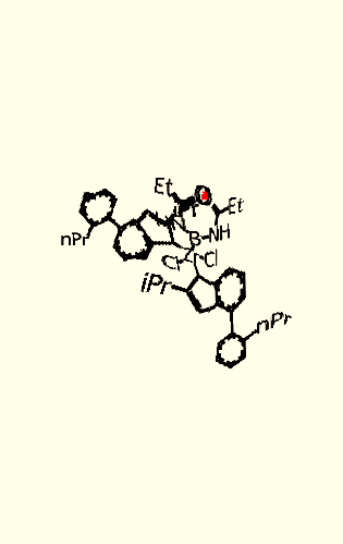 CCCc1ccccc1-c1cccc2c1C=C(C(C)C)[CH]2[Zr]([Cl])([Cl])([B](NC(=O)CC)NC(=O)CC)[CH]1C(C(C)C)=Cc2c(-c3ccccc3CCC)cccc21